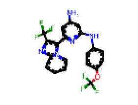 Nc1cc(Nc2ccc(OC(F)(F)F)cc2)nc(-c2c(C(F)(F)F)nc3ccccn23)c1